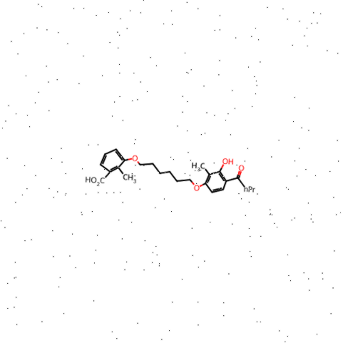 CCCC(=O)c1ccc(OCCCCCCOc2cccc(C(=O)O)c2C)c(C)c1O